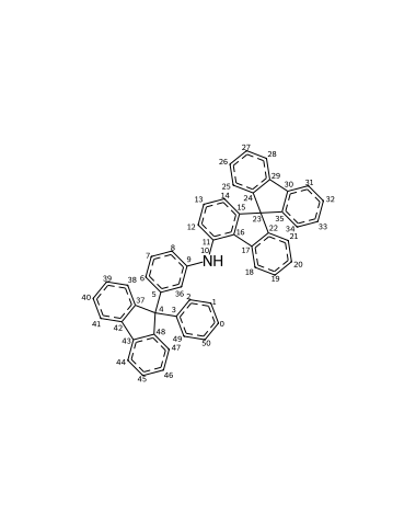 c1ccc(C2(c3cccc(Nc4cccc5c4-c4ccccc4C54c5ccccc5-c5ccccc54)c3)c3ccccc3-c3ccccc32)cc1